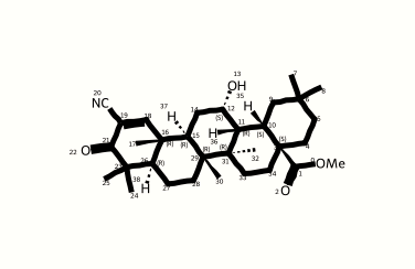 COC(=O)[C@]12CCC(C)(C)C[C@H]1[C@H]1[C@@H](O)C[C@@H]3[C@@]4(C)C=C(C#N)C(=O)C(C)(C)[C@@H]4CC[C@@]3(C)[C@]1(C)CC2